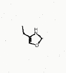 CCC1=CO[C]N1